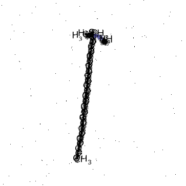 COCCOCCOCCOCCOCCOCCOCCOCCOCCOCCOCCOCCOCCOCCOCCOCCOCCOCCOCCOCCOCCOCCOCCOCC[N+]1=C(/C=C/C=C/Nc2ccccc2)C(C)(C)c2cc(C)ccc21